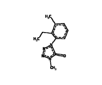 CCc1c(C)cccc1-n1nnn(C)c1=O